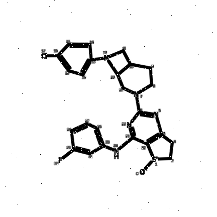 [O-][S+]1CCc2nc(N3CCC4CN(c5ccc(Cl)cc5)C4C3)nc(Nc3cccc(F)c3)c21